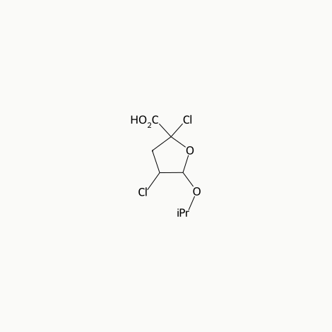 CC(C)OC1OC(Cl)(C(=O)O)CC1Cl